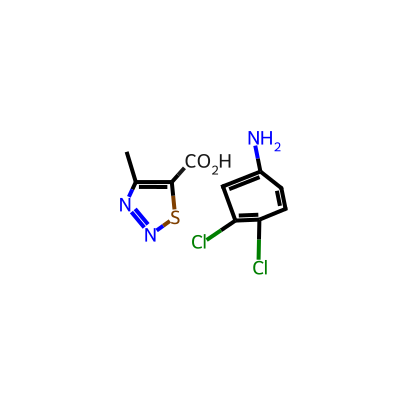 Cc1nnsc1C(=O)O.Nc1ccc(Cl)c(Cl)c1